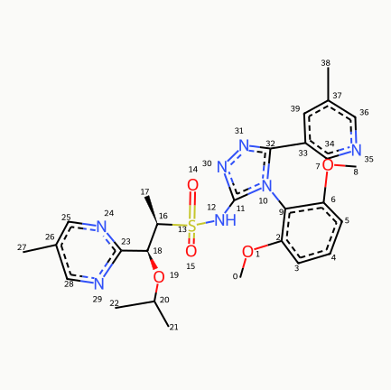 COc1cccc(OC)c1-n1c(NS(=O)(=O)[C@H](C)[C@@H](OC(C)C)c2ncc(C)cn2)nnc1-c1cncc(C)c1